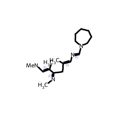 C/N=C(C/C(C)=C/N=C/N1CCCCCC1)\C(C)=C\NC